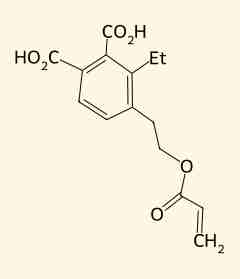 C=CC(=O)OCCc1ccc(C(=O)O)c(C(=O)O)c1CC